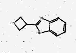 c1ccc2[nH]c(C3CNC3)nc2c1